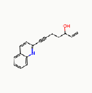 C=CC(O)CCC#Cc1ccc2ccccc2n1